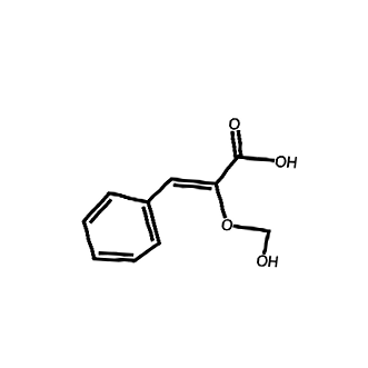 O=C(O)C(=Cc1ccccc1)OCO